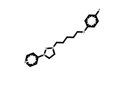 Fc1ccc(OCCCCCN2CCN(c3ccncc3)S2)cc1